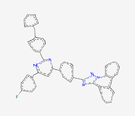 Fc1ccc(-c2cc(-c3ccc(-c4nc5c6ccccc6c6ccccc6n5n4)cc3)nc(-c3ccc(-c4ccccc4)cc3)n2)cc1